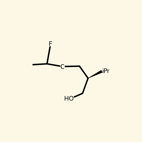 CC(F)CC[C@H](CO)C(C)C